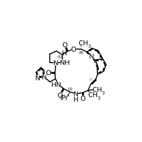 CC(C)[C@@H]1NC(=O)C(C)(C)/C=C/c2ccc3ccc(nc3c2)[C@@H](C)OC(=O)[C@@H]2CCCN(N2)C(=O)C(Cn2cccn2)NC1=O